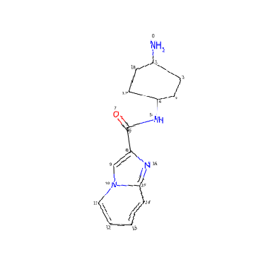 NC1CCC(NC(=O)c2cn3ccccc3n2)CC1